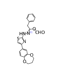 O=CO/C(Cc1ccccc1)=N/Nc1nc(-c2ccc3c(c2)OCCCO3)cs1